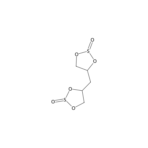 O=S1OCC(CC2COS(=O)O2)O1